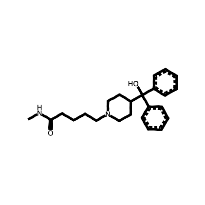 CNC(=O)CCCCN1CCC(C(O)(c2ccccc2)c2ccccc2)CC1